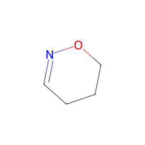 C1=NOCCC1